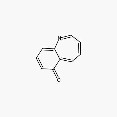 O=c1cccc2nccccc1-2